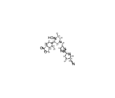 Cc1cc(-n2ncc(CN3C[C@H](C)N(O)[C@H](c4ccc5c(c4C)COC5=O)C3)n2)ncc1C#N